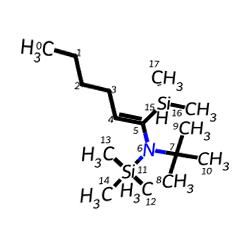 CCCCC=C(N(C(C)(C)C)[Si](C)(C)C)[SiH](C)C